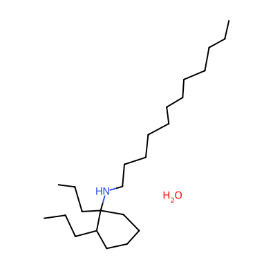 CCCCCCCCCCCCNC1(CCC)CCCCC1CCC.O